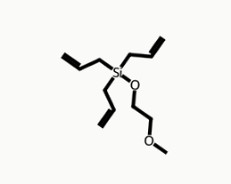 C=CC[Si](CC=C)(CC=C)OCCOC